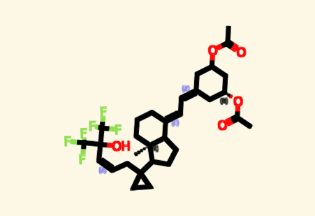 CC(=O)OC1C/C(=C/C=C2\CCC[C@@]3(C)C2CCC3C2(C/C=C\C(O)(C(F)(F)F)C(F)(F)F)CC2)C[C@@H](OC(C)=O)C1